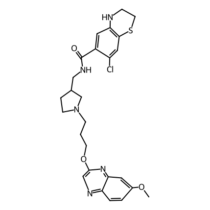 COc1ccc2ncc(OCCCN3CCC(CNC(=O)c4cc5c(cc4Cl)SCCN5)C3)nc2c1